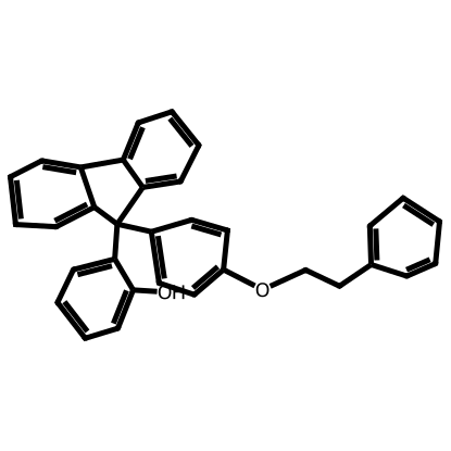 Oc1ccccc1C1(c2ccc(OCCc3ccccc3)cc2)c2ccccc2-c2ccccc21